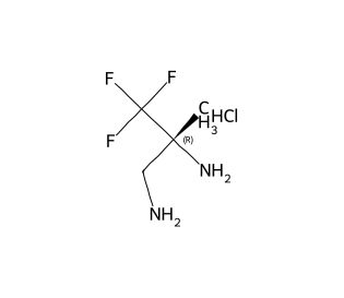 C[C@@](N)(CN)C(F)(F)F.Cl